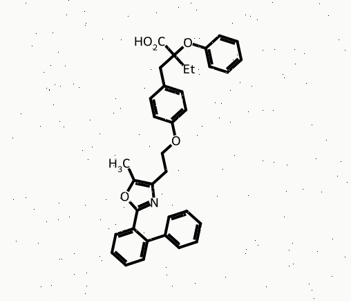 CCC(Cc1ccc(OCCc2nc(-c3ccccc3-c3ccccc3)oc2C)cc1)(Oc1ccccc1)C(=O)O